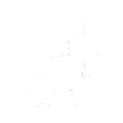 CCCC1Oc2ccccc2C(=O)NC1=O